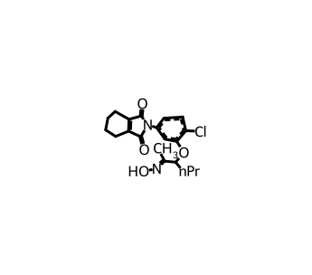 CCCC(Oc1cc(N2C(=O)C3=C(CCCC3)C2=O)ccc1Cl)C(C)=NO